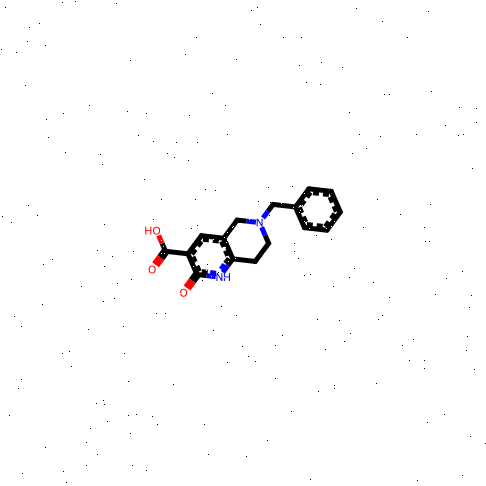 O=C(O)c1cc2c([nH]c1=O)CCN(Cc1ccccc1)C2